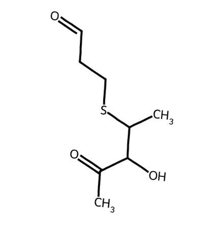 CC(=O)C(O)C(C)SCCC=O